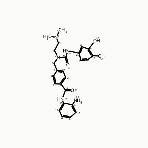 CN(C)CCN(Cc1ccc(C(=O)Nc2ccccc2N)cc1)C(=O)Nc1ccc(O)c(O)c1